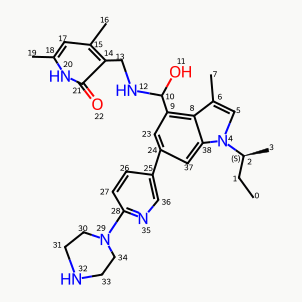 CC[C@H](C)n1cc(C)c2c(C(O)NCc3c(C)cc(C)[nH]c3=O)cc(-c3ccc(N4CCNCC4)nc3)cc21